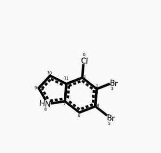 Clc1c(Br)c(Br)cc2[nH]ccc12